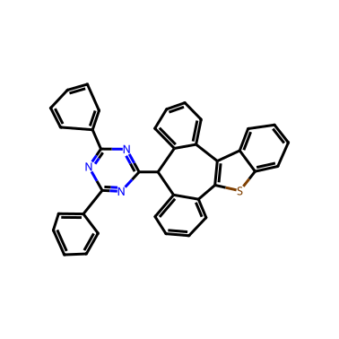 c1ccc(-c2nc(-c3ccccc3)nc(C3c4ccccc4-c4sc5ccccc5c4-c4ccccc43)n2)cc1